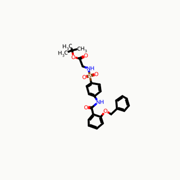 CC(C)(C)OC(=O)CNS(=O)(=O)c1ccc(NC(=O)c2ccccc2OCc2ccccc2)cc1